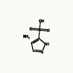 N.O=S(=O)(O)c1ccn[nH]1